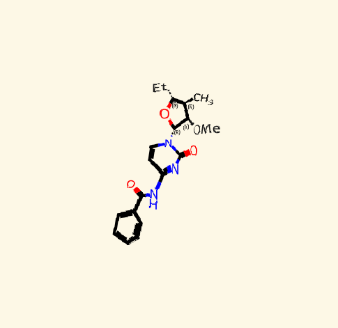 CC[C@H]1O[C@@H](n2ccc(NC(=O)c3ccccc3)nc2=O)[C@H](OC)[C@@H]1C